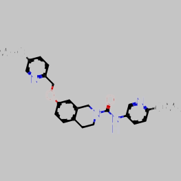 COc1ccc(COc2ccc3c(c2)CN(C(=O)Nc2ccc(OC)nc2)CC3)nc1